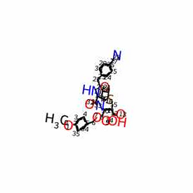 COc1ccc(COC(=O)C2=C(C(=O)O)CS[C@H]3C(NC(=O)Cc4ccc(C#N)cc4)C(=O)N23)cc1